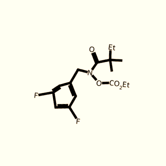 CCOC(=O)ON(Cc1cc(F)cc(F)c1)C(=O)C(C)(C)CC